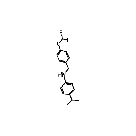 CC(C)c1ccc(NCc2ccc(OC(F)F)cc2)cc1